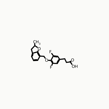 CC1Cc2cccc(COc3c(F)cc(CCC(=O)O)cc3F)c2O1